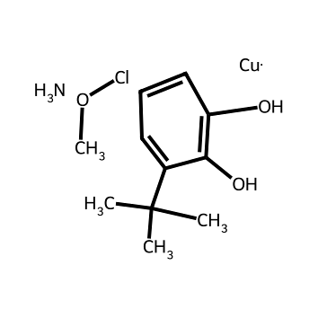 CC(C)(C)c1cccc(O)c1O.COCl.N.[Cu]